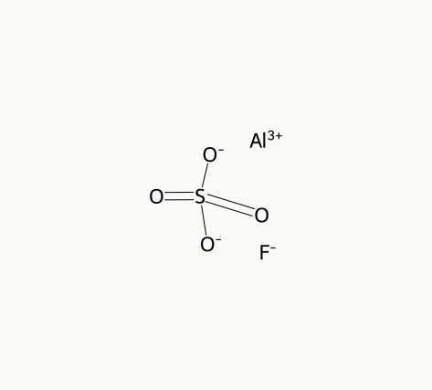 O=S(=O)([O-])[O-].[Al+3].[F-]